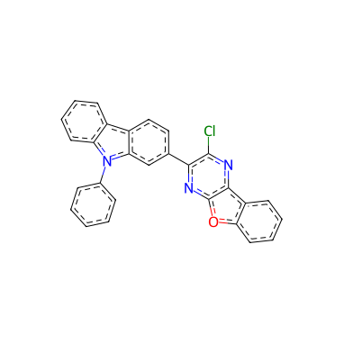 Clc1nc2c(nc1-c1ccc3c4ccccc4n(-c4ccccc4)c3c1)oc1ccccc12